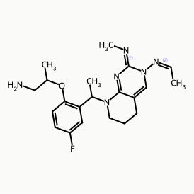 C/C=N\n1cc2c(n/c1=N\C)N(C(C)c1cc(F)ccc1OC(C)CN)CCC2